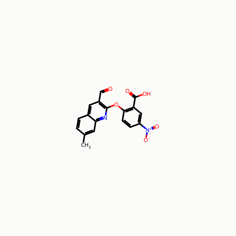 Cc1ccc2cc(C=O)c(Oc3ccc([N+](=O)[O-])cc3C(=O)O)nc2c1